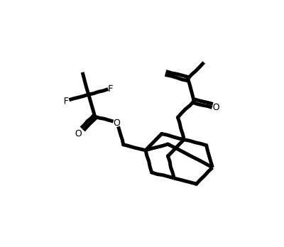 C=C(C)C(=O)CC12CC3CC(CC(COC(=O)C(C)(F)F)(C3)C1)C2